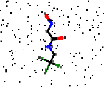 O=NCC(=O)NCC(F)(F)F